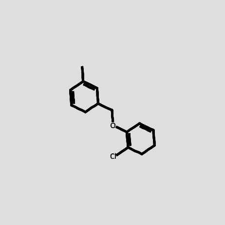 CC1=CC(COC2=C(Cl)CCC=C2)CC=C1